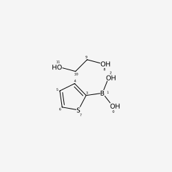 OB(O)c1cccs1.OCCO